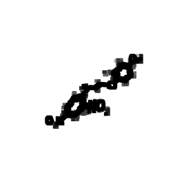 O=[N+]([O-])c1ccc(SCCOc2ccc(O)cc2)c([N+](=O)[O-])c1